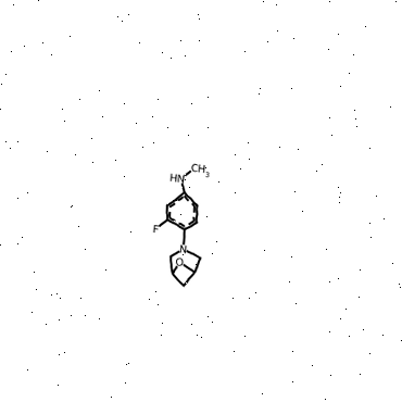 CNc1ccc(N2CC3CC(C2)O3)c(F)c1